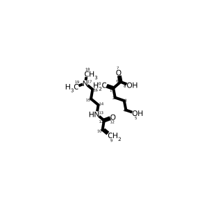 C=C(CCCO)C(=O)O.C=CC(=O)NCCCN(C)C